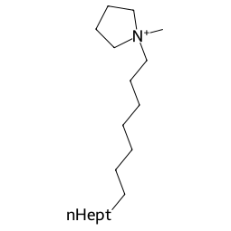 CCCCCCCCCCCCCC[N+]1(C)CCCC1